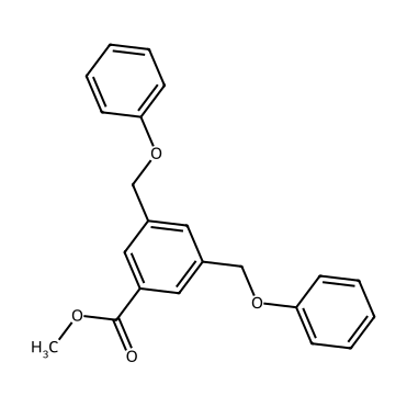 COC(=O)c1cc(COc2ccccc2)cc(COc2ccccc2)c1